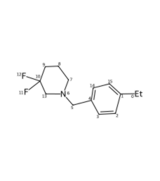 CCc1ccc(CN2CCCC(F)(F)C2)cc1